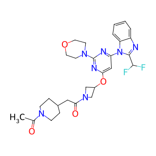 CC(=O)N1CCC(CC(=O)N2CC(Oc3cc(-n4c(C(F)F)nc5ccccc54)nc(N4CCOCC4)n3)C2)CC1